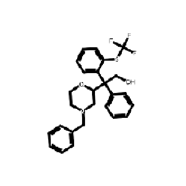 OCC(c1ccccc1)(c1ccccc1SC(F)(F)F)C1CN(Cc2ccccc2)CCO1